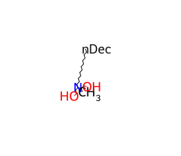 CCCCCCCCCCCCCCCCCCCCCCN(CCO)C(C)CO